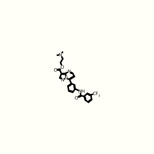 CN(C)CCOC(=O)c1cnn2c(-c3cccc(NC(=O)c4cccc(C(F)(F)F)c4)c3)ccnc12